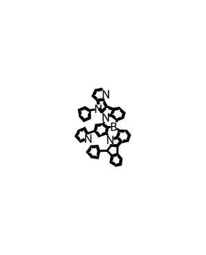 c1ccc(C2c3ccccc3-c3c2n2c4c(cccc34)B3c4c-2cc(-c2ccccn2)cc4-n2c4c3cccc4c3c4ncccc4n(-c4ccccc4)c32)cc1